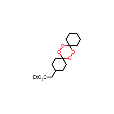 CCOC(=O)CC1CCC2(CC1)OOC1(CCCCC1)OO2